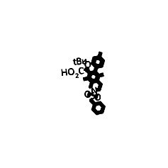 Cc1ccc(-c2c(C)c3c(c(C)c2[C@H](OC(C)(C)C)C(=O)O)CN(S(=O)(=O)CC2CCCCC2)CC3)cc1